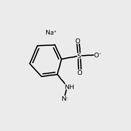 [N]Nc1ccccc1S(=O)(=O)[O-].[Na+]